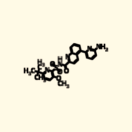 COc1ccc(C(C)(C)C)nc1S(=O)(=O)NC(=O)c1ccc2c(-c3cccc(N)n3)cccc2n1